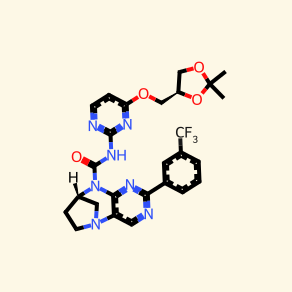 CC1(C)OC[C@H](COc2ccnc(NC(=O)N3c4nc(-c5cccc(C(F)(F)F)c5)ncc4N4CC[C@H]3C4)n2)O1